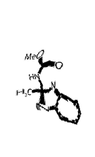 COC(=O)NC1(C)N=c2ccccc2=N1